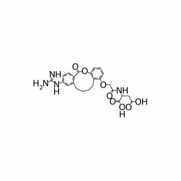 N=C(N)Nc1ccc2c(c1)CCCCc1c(OCC(=O)NC(CC(=O)O)C(=O)O)cccc1OC2=O